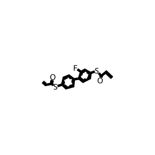 C=CC(=O)Sc1ccc(-c2ccc(SC(=O)C=C)cc2F)cc1